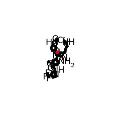 COc1cc(-c2nn3c4c(cnc(N)c24)/C=C/CCN[C@H](C)CC(=O)N[C@@H]2CCC[C@@H]3C2)ccc1C(=O)Nc1cc(C(F)(F)F)ccn1